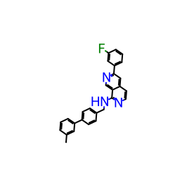 Cc1cccc(-c2ccc(CNc3nccc4cc(-c5cccc(F)c5)ncc34)cc2)c1